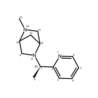 C[C@H](c1ccccn1)N1CC2CC1CN2C